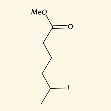 COC(=O)CCCC(C)I